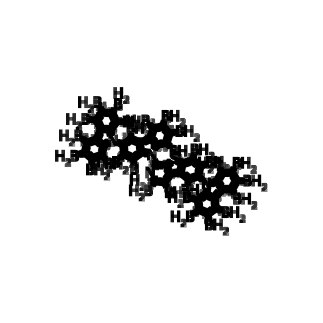 Bc1nc(-n2c3c(B)c(B)c(B)c(B)c3c3c(B)c(-n4c5c(B)c(B)c(B)c(B)c5c5c(B)c(B)c(B)c(B)c54)c(B)c(B)c32)c2sc3c(B)c(B)c(-n4c5c(B)c(B)c(B)c(B)c5c5c(B)c(B)c(B)c(B)c54)c(B)c3c2c1B